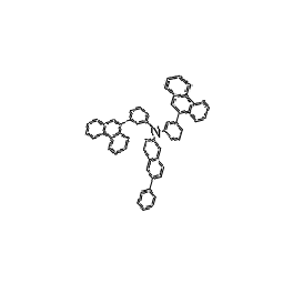 c1ccc(-c2ccc3cc(N(c4cccc(-c5cc6ccccc6c6ccccc56)c4)c4cccc(-c5cc6ccccc6c6ccccc56)c4)ccc3c2)cc1